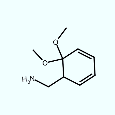 COC1(OC)C=CC=CC1CN